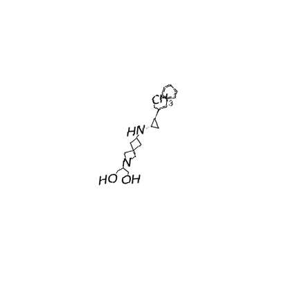 CC/C(=C\c1ccccc1)[C@H]1C[C@@H]1NC1CC2(C1)CN(C(CO)CO)C2